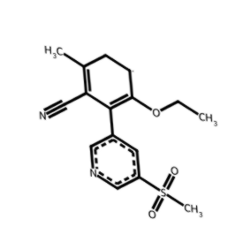 CCOC1=C(c2cncc(S(C)(=O)=O)c2)C(C#N)=C(C)C[CH]1